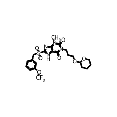 Cn1c(=O)n(CCCOC2CCCCO2)c(=O)c2[nH]c(S(=O)(=O)Cc3cccc(OC(F)(F)F)c3)nc21